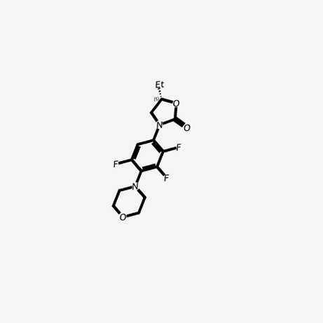 CC[C@H]1CN(c2cc(F)c(N3CCOCC3)c(F)c2F)C(=O)O1